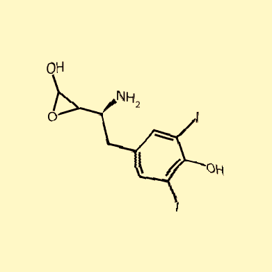 N[C@@H](Cc1cc(I)c(O)c(I)c1)C1OC1O